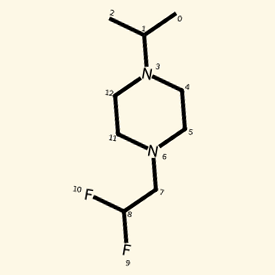 CC(C)N1CCN(CC(F)F)CC1